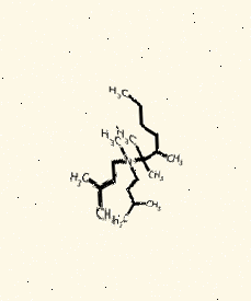 CCCCC(C)C(C)(C)[N+](C)(CCC(C)C)CCC(C)C